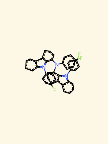 Fc1ccc(N(c2cccc3c4ccccc4n(-c4ccc(F)cc4)c23)c2cccc3c4ccccc4n(-c4ccc(F)cc4)c23)cc1